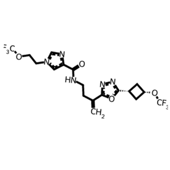 C=C(CCNC(=O)c1cn(CCOC(F)(F)F)cn1)c1nnc([C@H]2C[C@@H](OC(F)(F)F)C2)o1